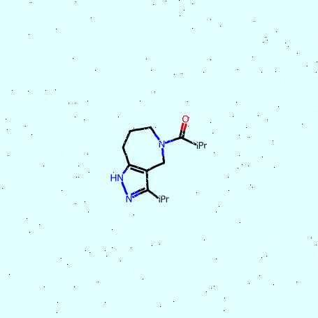 CC(C)C(=O)N1CCCc2[nH]nc(C(C)C)c2C1